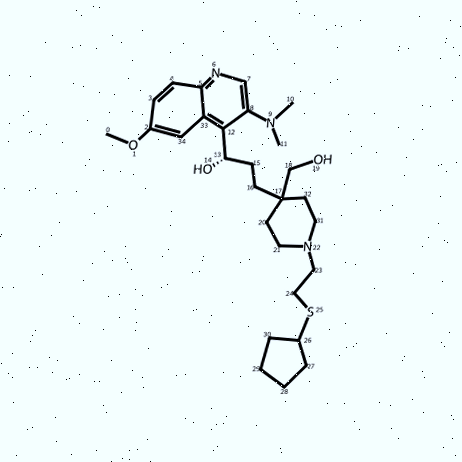 COc1ccc2ncc(N(C)C)c([C@@H](O)CCC3(CO)CCN(CCSC4CCCC4)CC3)c2c1